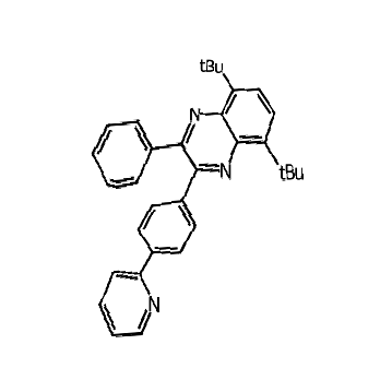 CC(C)(C)c1ccc(C(C)(C)C)c2nc(-c3ccc(-c4ccccn4)cc3)c(-c3ccccc3)nc12